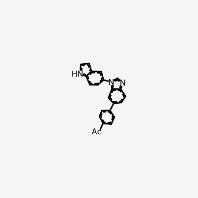 CC(=O)c1ccc(-c2ccc3ncn(-c4ccc5[nH]ccc5c4)c3c2)cc1